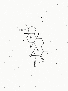 CC1C(=O)[C@@]2(C#N)OC2[C@@]2(C)C1CC[C@@H]1[C@@H]2CC[C@@]2(C)[C@H]1CC[C@]2(C)O